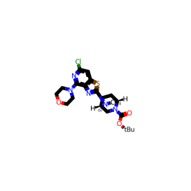 CC(C)(C)OC(=O)N1C[C@@H]2CC[C@H]1CN2c1nc2c(N3CCOCC3)nc(Cl)cc2s1